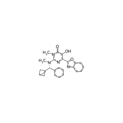 CN(c1nc(-c2nc3ccccc3o2)c(O)c(=O)n1C)[C@H](c1ccccc1)C12CC(C1)C2